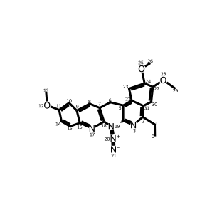 CCc1ncc(Cc2cc3cc(OC)ccc3nc2N=[N+]=[N-])c2cc(OC)c(OC)cc12